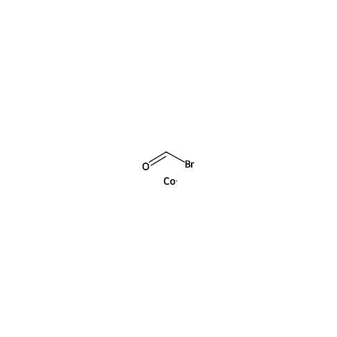 O=CBr.[Co]